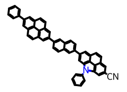 N#Cc1cc2ccc3cc(-c4ccc5cc(-c6cc7ccc8cc(-c9ccccc9)cc9ccc(c6)c7c89)ccc5c4)cc4c3c2c(c1)n4-c1ccccc1